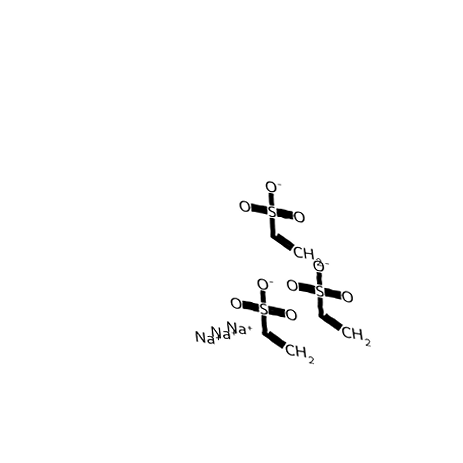 C=CS(=O)(=O)[O-].C=CS(=O)(=O)[O-].C=CS(=O)(=O)[O-].[Na+].[Na+].[Na+]